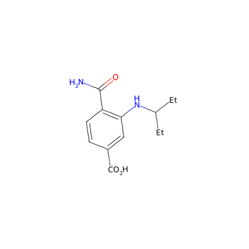 CCC(CC)Nc1cc(C(=O)O)ccc1C(N)=O